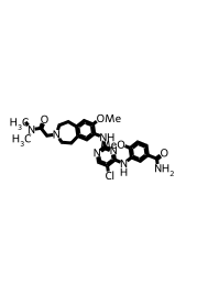 COc1cc2c(cc1Nc1ncc(Cl)c(Nc3cc(C(N)=O)ccc3OC)n1)CCN(CC(=O)N(C)C)CC2